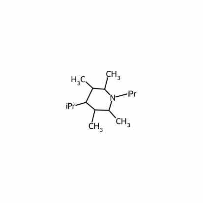 CC(C)C1C(C)C(C)N(C(C)C)C(C)C1C